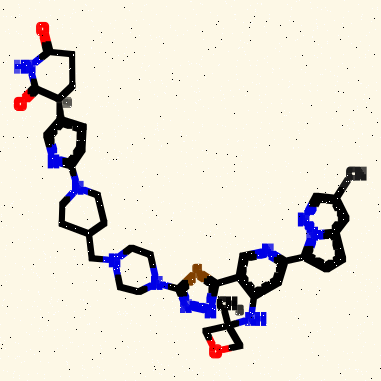 CC1(Nc2cc(-c3ccc4cc(C#N)cnn34)ncc2-c2nnc(N3CCN(CC4CCN(c5ccc([C@@H]6CCC(=O)NC6=O)cn5)CC4)CC3)s2)COC1